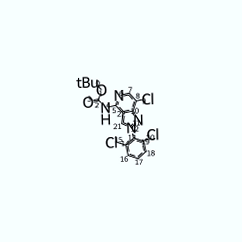 CC(C)(C)OC(=O)Nc1ncc(Cl)c2nn(-c3c(Cl)cccc3Cl)cc12